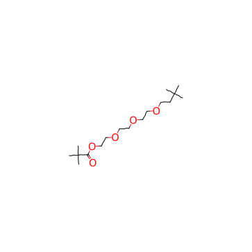 CC(C)(C)CCOCCOCCOCCOC(=O)C(C)(C)C